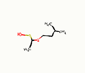 CC(C)CCOC(C)SO